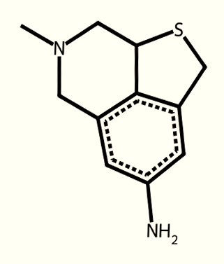 CN1Cc2cc(N)cc3c2C(C1)SC3